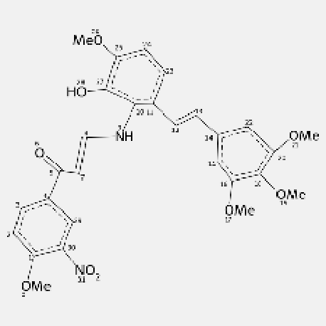 COc1ccc(C(=O)C=CNc2c(C=Cc3cc(OC)c(OC)c(OC)c3)ccc(OC)c2O)cc1[N+](=O)[O-]